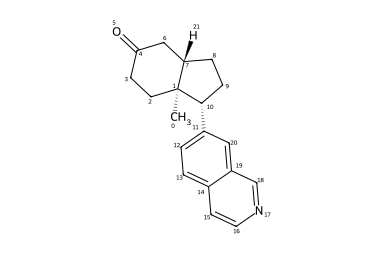 C[C@]12CCC(=O)C[C@@H]1CC[C@@H]2c1ccc2ccncc2c1